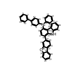 c1ccc(-c2ccc(N(c3ccccc3)c3ccc(-c4ccc5c(c4)oc4ccccc45)c4[nH]c5ccccc5c34)cc2)cc1